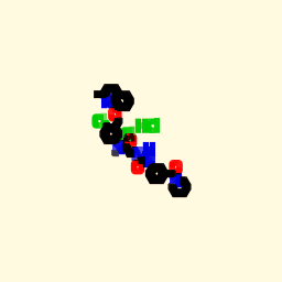 Cc1ccc2cccc(OCc3c(Cl)ccc(N(C)C(=O)CNC(=O)Nc4cccc(C(=O)N5CC=CCC5)c4)c3Cl)c2n1.Cl